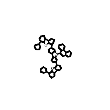 c1ccc(-c2cccc3c2oc2c(-c4ccc5c6ccc(-c7cccc8c7oc7c(-c9ccccc9)cccc78)cc6n(-c6cc7ccccc7c7ccccc67)c5c4)cccc23)cc1